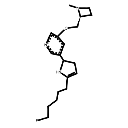 CN1CC[C@H]1COc1cncc(C2CC=C(CCCCCF)N2)c1